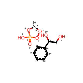 O=P1(O)OO[SiH2]O1.OCC(O)c1ccccc1